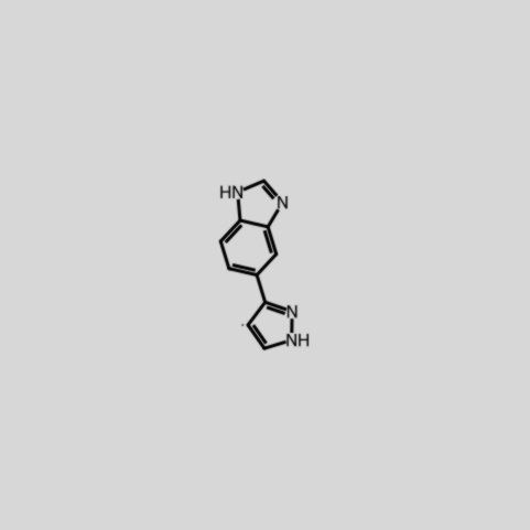 [c]1c[nH]nc1-c1ccc2[nH]cnc2c1